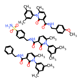 COc1ccc(CNC(=O)c2ccc(C)n(-c3cc(C)cc(C)c3)c2=O)cc1.Cc1cc(C)cc(-n2c(C)ccc(C(=O)NCc3ccc(S(N)(=O)=O)cc3)c2=O)c1.Cc1cc(C)cc(-n2c(C)ccc(C(=O)NCc3ccccc3)c2=O)c1